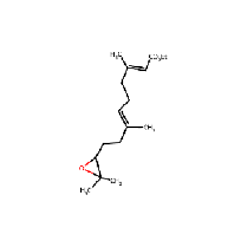 CCOC(=O)C=C(C)CCC=C(C)CCC1OC1(C)C